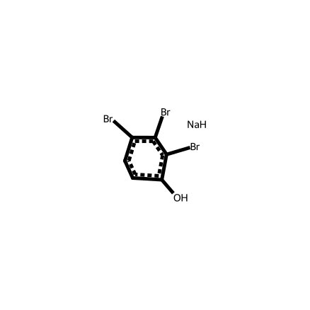 Oc1ccc(Br)c(Br)c1Br.[NaH]